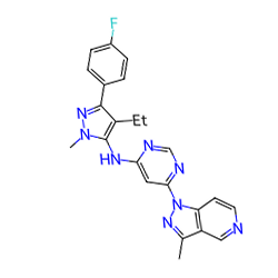 CCc1c(-c2ccc(F)cc2)nn(C)c1Nc1cc(-n2nc(C)c3cnccc32)ncn1